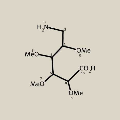 COC(CN)C(OC)C(OC)C(OC)C(=O)O